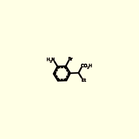 CCC(C(=O)O)c1cccc(N)c1Br